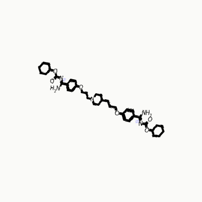 N/C(=N\C(=O)OC1CCCCC1)c1ccc(OCCCC2CCN(CCCOc3ccc(/C(N)=N/C(=O)OC4CCCCC4)cc3)CC2)cc1